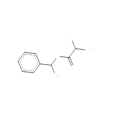 CC(C(=O)O)C(=O)OC(O)c1ccccc1